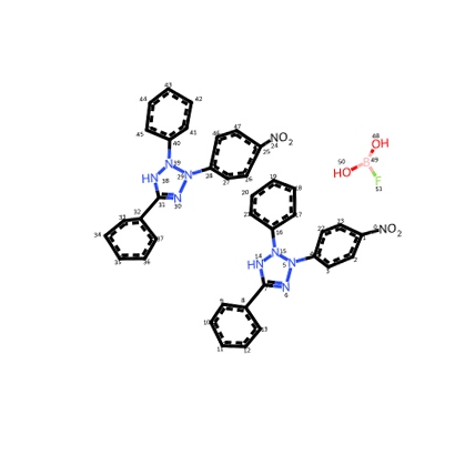 O=[N+]([O-])c1ccc(N2N=C(c3ccccc3)NN2c2ccccc2)cc1.O=[N+]([O-])c1ccc(N2N=C(c3ccccc3)NN2c2ccccc2)cc1.OB(O)F